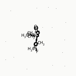 CC1C=C(N(C)CCF)C=CC1C#Cc1cc2ccc(N3CCOCC3)nc2n1COCC[Si](C)(C)C